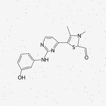 CC1=C(c2ccnc(Nc3cccc(O)c3)n2)SC(C=O)N1C